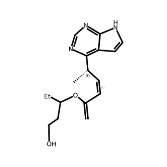 C=C(/C=C\[C@H](C)c1ncnc2[nH]ccc12)OC(CC)CCO